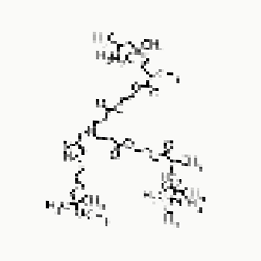 COC(C)(C)COCCn1cc(CN(CCC(=O)OCCOC(=O)C(C)CSC(C)(C)CC(C)C)CCC(=O)OCCOC(=O)C(C)CSC(C)(C)C(C)(C)C)nn1